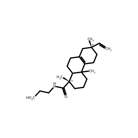 C=C[C@]1(C)CCC2=C(CCC3C2(C)CCC[C@]3(C)C(=O)NCCC(=O)O)C1